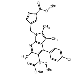 COC(=O)[C@@H](OC(C)(C)C)c1c(C)nc2c(c(C)c(C)n2Cc2cnn(C(=O)OC(C)(C)C)c2)c1-c1ccc(Cl)cc1